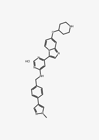 Cl.Cn1cc(-c2ccc(CNc3cc(-c4cnc5cc(OC6CCNCC6)ccn45)ncn3)cc2)cn1